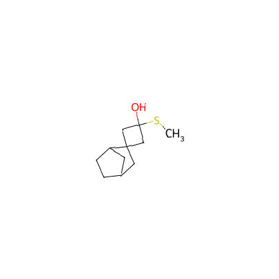 CSC1(O)CC2(CC3CCC2C3)C1